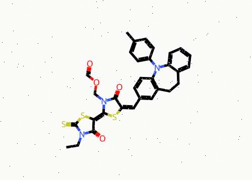 CCN1C(=O)/C(=c2\s/c(=C/c3ccc4c(c3)CCc3ccccc3N4c3ccc(C)cc3)c(=O)n2COC=O)SC1=S